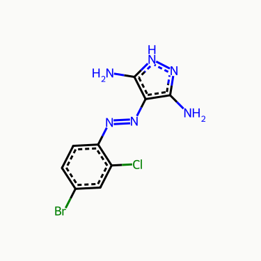 Nc1n[nH]c(N)c1N=Nc1ccc(Br)cc1Cl